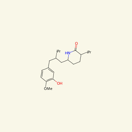 COc1ccc(CC(CC2CCC(C(C)C)C(=O)N2)C(C)C)cc1O